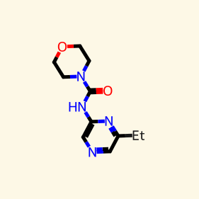 CCc1cncc(NC(=O)N2CCOCC2)n1